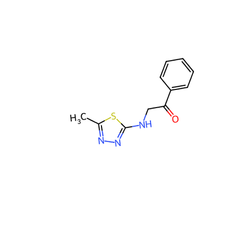 Cc1nnc(NCC(=O)c2ccccc2)s1